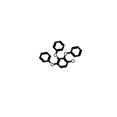 [O]c1ccc(Oc2ccccc2)c(Oc2ccccc2)c1Oc1ccccc1